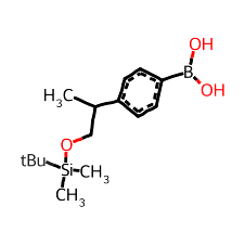 CC(CO[Si](C)(C)C(C)(C)C)c1ccc(B(O)O)cc1